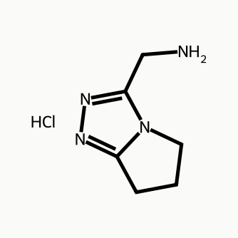 Cl.NCc1nnc2n1CCC2